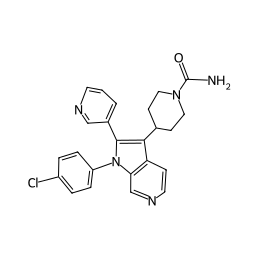 NC(=O)N1CCC(c2c(-c3cccnc3)n(-c3ccc(Cl)cc3)c3cnccc23)CC1